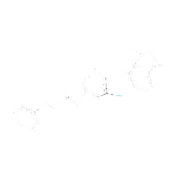 O=C(NCc1ccncc1)Nc1cc(F)c(Oc2ccnc3[nH]cc(Cl)c23)c(F)c1